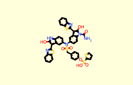 NC(=O)n1c(O)c(-c2nc3ccccc3s2)c2cc(N(c3ccc4[nH]c(O)c(-c5nc6ccccc6s5)c4c3)S(=O)(=O)Cc3ccccc3)ccc21.O=S(=O)(O)c1cccs1